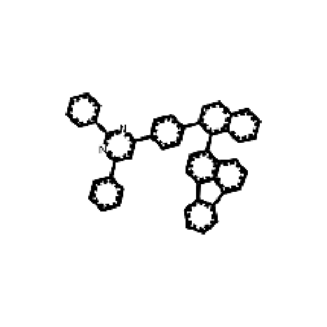 c1ccc(-c2cc(-c3ccc(-c4ccc5ccccc5c4-c4ccc5c6c(cccc46)-c4ccccc4-5)cc3)nc(-c3ccccc3)n2)cc1